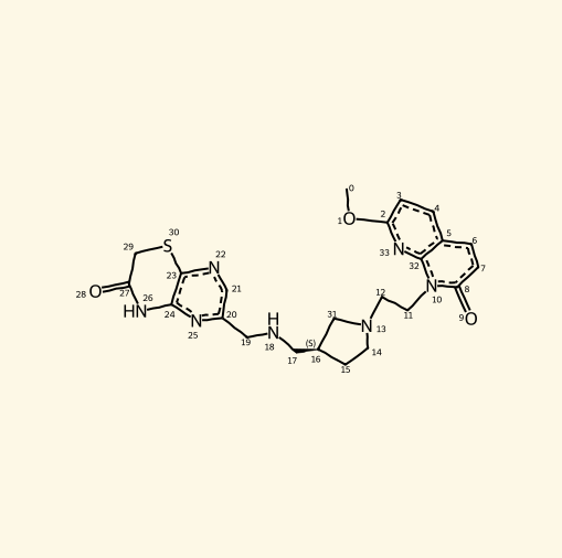 COc1ccc2ccc(=O)n(CCN3CC[C@@H](CNCc4cnc5c(n4)NC(=O)CS5)C3)c2n1